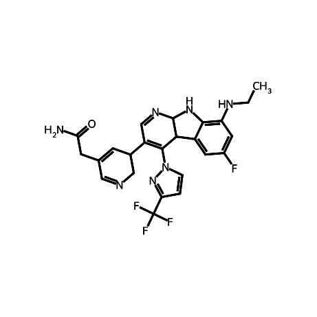 CCNc1cc(F)cc2c1NC1N=CC(C3C=C(CC(N)=O)C=NC3)=C(n3ccc(C(F)(F)F)n3)C21